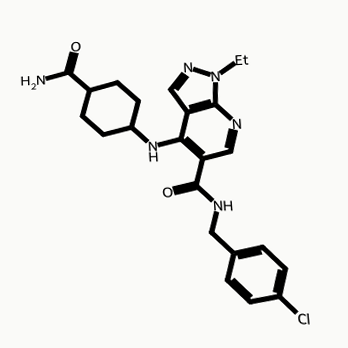 CCn1ncc2c(NC3CCC(C(N)=O)CC3)c(C(=O)NCc3ccc(Cl)cc3)cnc21